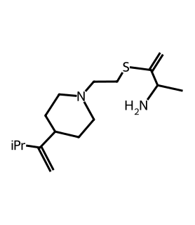 C=C(SCCN1CCC(C(=C)C(C)C)CC1)C(C)N